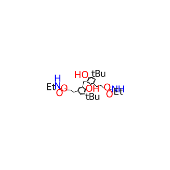 CCNC(=O)OCCCc1cc(Cc2cc(CCCOC(=O)NCC)cc(C(C)(C)C)c2O)c(O)c(C(C)(C)C)c1